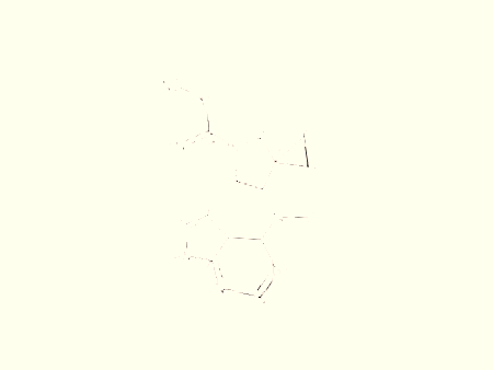 CN(c1ncnc2[nH]ccc12)[C@@H]1CN(C(=S)CC#N)CC12CC2